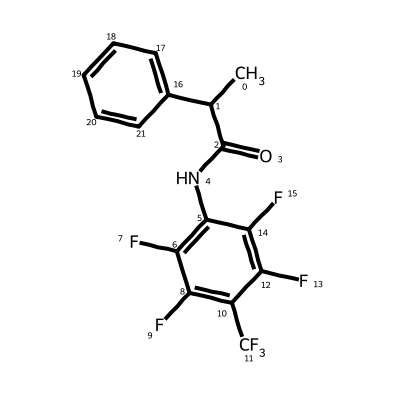 CC(C(=O)Nc1c(F)c(F)c(C(F)(F)F)c(F)c1F)c1ccccc1